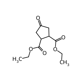 CCOC(=O)C1CC(=O)CC1C(=O)OCC